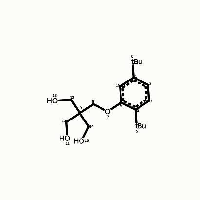 CC(C)(C)c1ccc(C(C)(C)C)c(OCC(CO)(CO)CO)c1